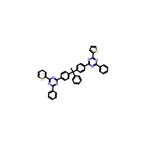 CC(c1ccccc1)(c1ccc(-c2nc(C3=CCC=CS3)nc(-c3ccccc3)n2)cc1)c1ccc(-c2nc(-c3ccccc3)nc(-c3cccs3)n2)cc1